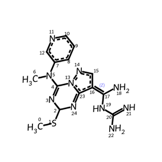 CSC1N=C(N(C)c2cccnc2)n2nc/c(=C(\N)NC(=N)N)c2=N1